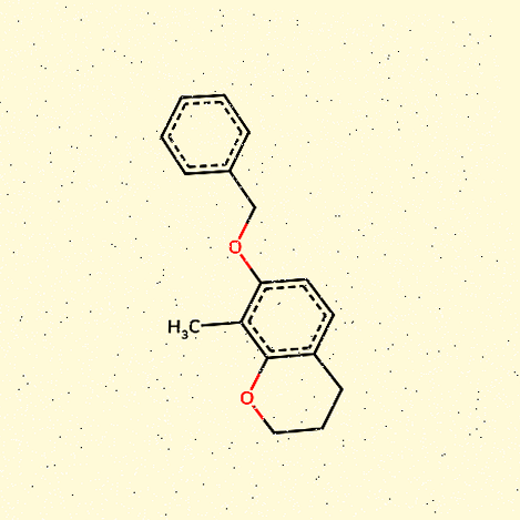 Cc1c(OCc2ccccc2)ccc2c1OCCC2